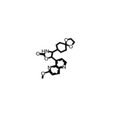 COc1ccc2nccc(C3OC(=O)NC3C3CCC4(CC3)OCCO4)c2n1